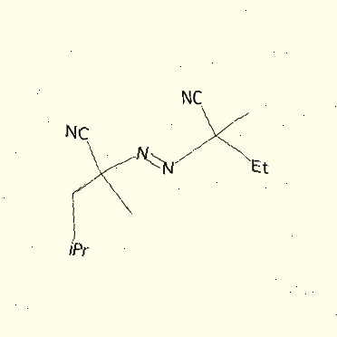 CCC(C)(C#N)/N=N/C(C)(C#N)CC(C)C